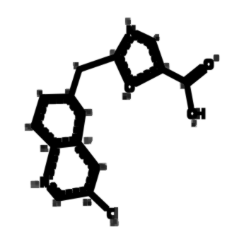 O=C(O)c1cnc(Cc2ccc3ncc(Cl)cc3c2)o1